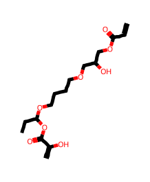 C=CC(=O)OCC(O)COCCCCOC(CC)OC(=O)C(=C)O